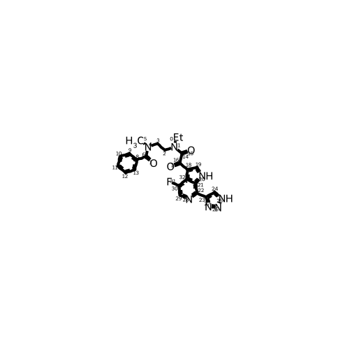 CCN(CCN(C)C(=O)c1ccccc1)C(=O)C(=O)c1c[nH]c2c(-c3c[nH]nn3)ncc(F)c12